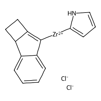 [Cl-].[Cl-].c1c[nH][c]([Zr+2][C]2=C3CCC3c3ccccc32)c1